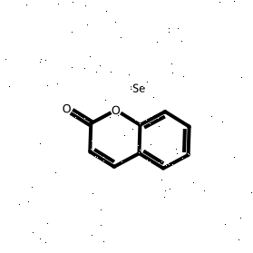 O=c1ccc2ccccc2o1.[Se]